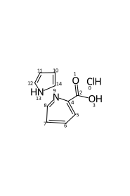 Cl.O=C(O)c1ccccn1.c1cc[nH]c1